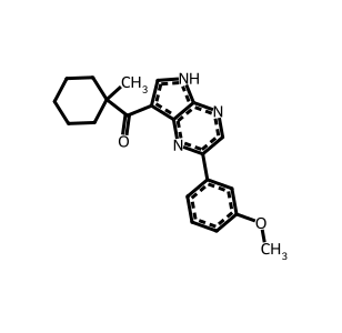 COc1cccc(-c2cnc3[nH]cc(C(=O)C4(C)CCCCC4)c3n2)c1